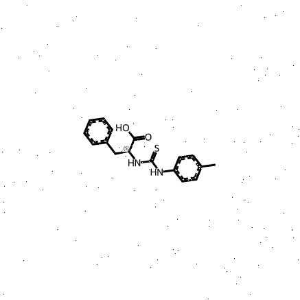 Cc1ccc(NC(=S)N[C@@H](Cc2ccccc2)C(=O)O)cc1